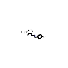 CN(C)C(=O)/C=C/C=C/c1ccc(S)cc1